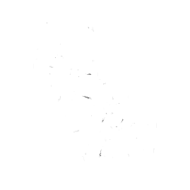 CC1(C)CC[C@]2(C(=O)Cl)CC[C@]3(C)[C@H](C(=O)C=C4[C@@]5(C)C=C(C#N)C(=O)C(C)(C)[C@@H]5CC[C@]43C)[C@@H]2C1